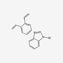 C=Cc1ccccc1C=C.Sn1cnc2ccccc21